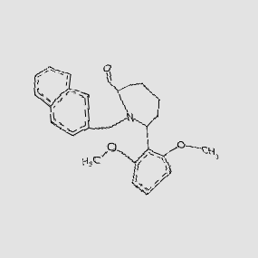 COc1cccc(OC)c1C1CCCC(C=O)N1Cc1ccc2ccccc2c1